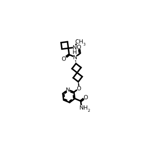 CNC1(C(=O)N(C=O)[C@H]2CC3(C[C@H](Oc4ncccc4C(N)=O)C3)C2)CCC1